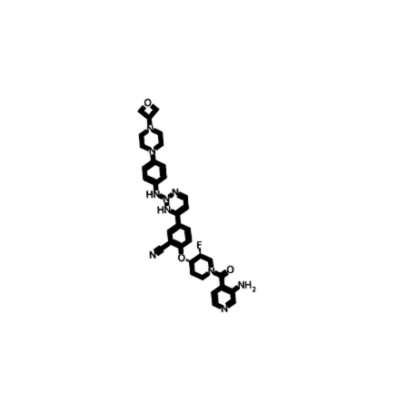 N#Cc1cc(C2=CC=NN(Nc3ccc(N4CCN(C5COC5)CC4)cc3)N2)ccc1O[C@H]1CCN(C(=O)c2ccncc2N)C[C@H]1F